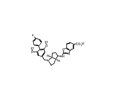 CCOc1cc(CN2CC[C@H]3C(Nc4nc5cc(C(=O)O)ccc5o4)CC[C@H]32)cc(OCC)c1-c1ccc(F)cc1